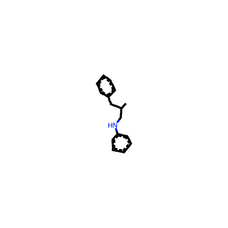 CC(CNc1ccccc1)Cc1ccccc1